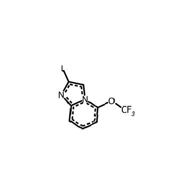 FC(F)(F)Oc1cccc2nc(I)cn12